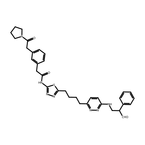 O=CC(CNc1ccc(CCCCc2nnc(NC(=O)Cc3cccc(CC(=O)N4CCCC4)c3)s2)nn1)c1ccccc1